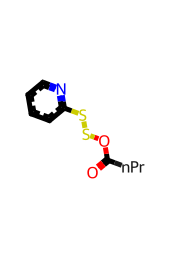 CCCC(=O)OSSc1ccccn1